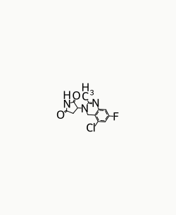 CC1=Nc2cc(F)cc(Cl)c2CN1C1CC(=O)NC1=O